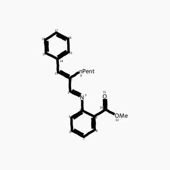 CCCCC/C(C=Nc1ccccc1C(=O)OC)=C\c1ccccc1